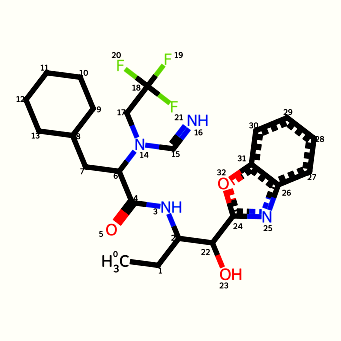 CCC(NC(=O)C(CC1CCCCC1)N(C=N)CC(F)(F)F)C(O)c1nc2ccccc2o1